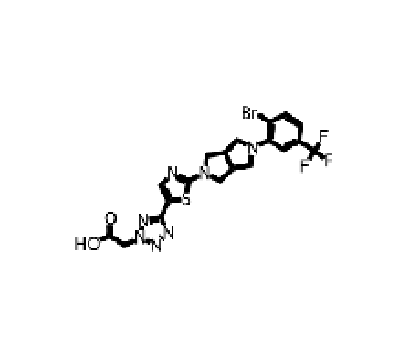 O=C(O)Cn1nnc(-c2cnc(N3CC4CN(c5cc(C(F)(F)F)ccc5Br)CC4C3)s2)n1